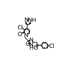 O=c1c(Cl)c(-c2cn[nH]c2)ccn1Cc1nc(C[C@H](O)c2ccc(Cl)cc2)no1